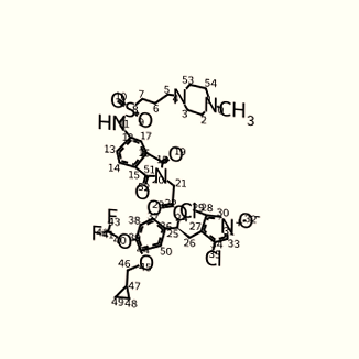 CN1CCN(CCCS(=O)(=O)Nc2ccc3c(c2)C(=O)N(CC(=O)O[C@@H](Cc2c(Cl)c[n+]([O-])cc2Cl)c2ccc(OC(F)F)c(OCC4CC4)c2)C3=O)CC1